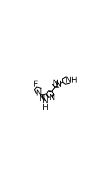 F[C@H]1CCN(c2n[nH]c3ncc(-c4cnn(C5CCNCC5)c4)cc23)C1